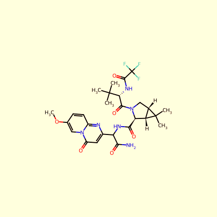 COc1ccc2nc(C(NC(=O)[C@@H]3[C@@H]4[C@H](CN3C(=O)[C@@H](NC(=O)C(F)(F)F)C(C)(C)C)C4(C)C)C(N)=O)cc(=O)n2c1